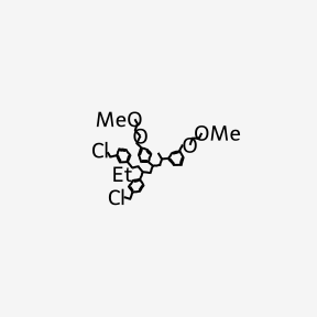 CCC(CC(CC(CC(C)c1cccc(COCCOC)c1)c1ccc(COCCOC)cc1)c1ccc(CCl)cc1)c1cccc(CCl)c1